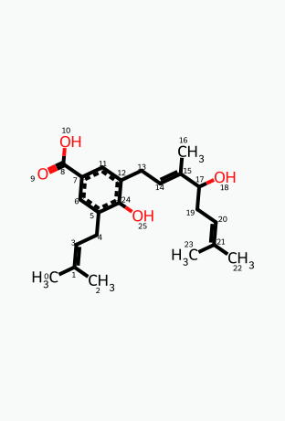 CC(C)=CCc1cc(C(=O)O)cc(C/C=C(\C)C(O)CC=C(C)C)c1O